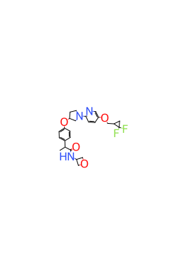 CC(C(=O)NC1COC1)c1ccc(OC2CCN(c3ccc(OCC4CC4(F)F)cn3)C2)cc1